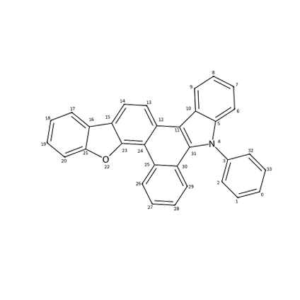 c1ccc(-n2c3ccccc3c3c4ccc5c6ccccc6oc5c4c4ccccc4c32)cc1